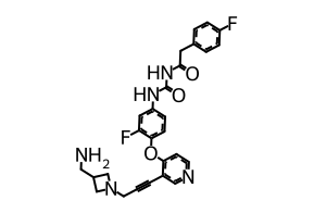 NCC1CN(CC#Cc2cnccc2Oc2ccc(NC(=O)NC(=O)Cc3ccc(F)cc3)cc2F)C1